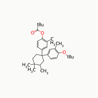 Cc1cc(C2(c3ccc(OC(C)(C)C)c(C)c3)CCC(C)(C)C(C)C2)ccc1OC(=O)C(C)(C)C